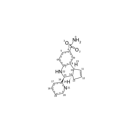 NS(=O)(=O)c1ccc2c(c1)[C@H]1C=CC[C@H]1[C@@H](c1ccccn1)N2